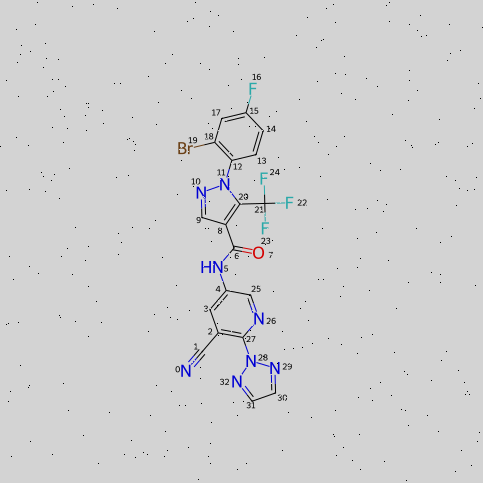 N#Cc1cc(NC(=O)c2cnn(-c3ccc(F)cc3Br)c2C(F)(F)F)cnc1-n1nccn1